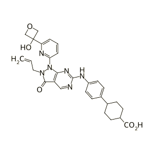 C=CCn1c(=O)c2cnc(Nc3ccc(C4CCC(C(=O)O)CC4)cc3)nc2n1-c1cccc(C2(O)COC2)n1